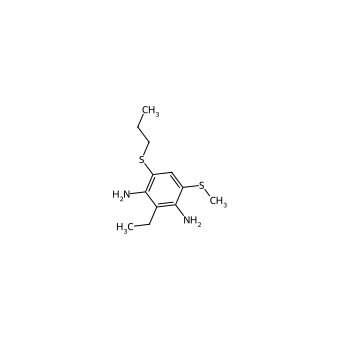 CCCSc1cc(SC)c(N)c(CC)c1N